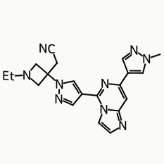 CCN1CC(CC#N)(n2cc(-c3nc(-c4cnn(C)c4)cc4nccn34)cn2)C1